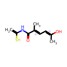 C=C(S)NC(=O)/C(C)=C/C=C(\C)O